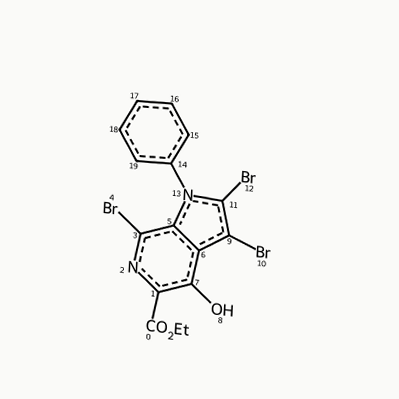 CCOC(=O)c1nc(Br)c2c(c1O)c(Br)c(Br)n2-c1ccccc1